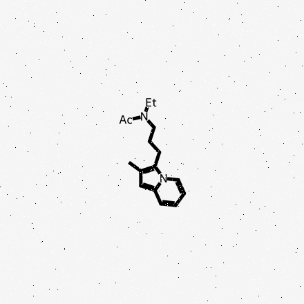 CCN(CCCc1c(C)cc2ccccn12)C(C)=O